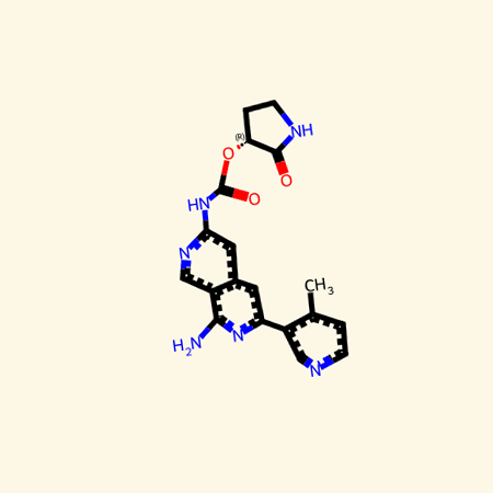 Cc1ccncc1-c1cc2cc(NC(=O)O[C@@H]3CCNC3=O)ncc2c(N)n1